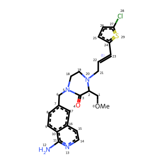 COCC1C(=O)N(Cc2ccc3c(N)nccc3c2)CCN1C/C=C/c1ccc(Cl)s1